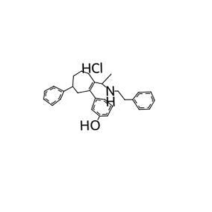 CC(NCCc1ccccc1)C1=C(c2cccc(O)c2)CC(c2ccccc2)CCC1.Cl